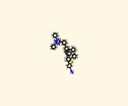 N#Cc1ccc2c(c1)sc1c(-c3cccc4c3C3(c5c(-c6cccc(-c7cccc(-c8nc(-c9ccccc9)nc(-c9ccccc9)n8)c7)c6)cccc5-4)C4CC5CC(C4)CC3C5)cccc12